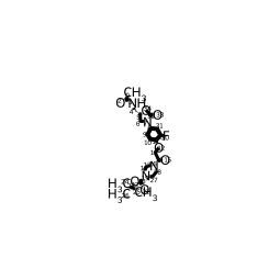 CC(=O)NC[C@H]1CN(c2ccc(OCC(=O)N3CCN(C(=O)OC(C)(C)C)CC3)c(F)c2)C(=O)O1